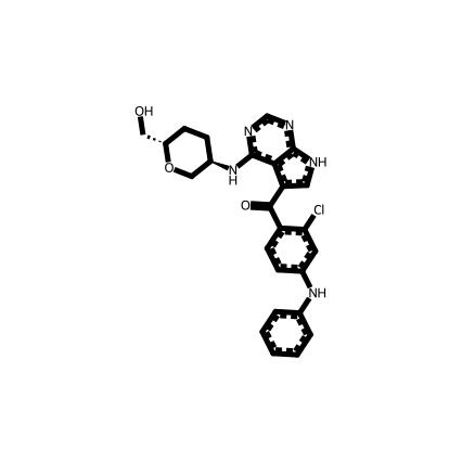 O=C(c1ccc(Nc2ccccc2)cc1Cl)c1c[nH]c2ncnc(N[C@@H]3CC[C@@H](CO)OC3)c12